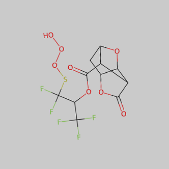 O=C(OC(C(F)(F)F)C(F)(F)SOOO)C1C2CC3OC(=O)C1C3O2